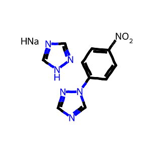 O=[N+]([O-])c1ccc(-n2cncn2)cc1.[NaH].c1nc[nH]n1